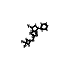 FC1CC(c2ccccc2)n2nc(SC3CC(F)(F)C3)nc21